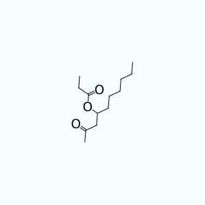 CCCCCCC(CC(C)=O)OC(=O)CC